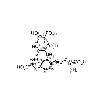 C[C@@H](O)[C@H](N)C(=O)O.C[C@@H](O)[C@H](N)C(=O)O.N[C@@H](CS)C(=O)O.N[C@@H](Cc1ccc(O)cc1)C(=O)O